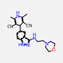 [C-]#[N+]C1=C(C)NC(C)=C(C#N)C1c1ccc2[nH]nc(NCCN3CCOCC3)c2c1